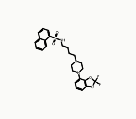 O=S(=O)(NCCCCN1CCN(c2cccc3c2OC(F)(F)O3)CC1)c1cccc2ccccc12